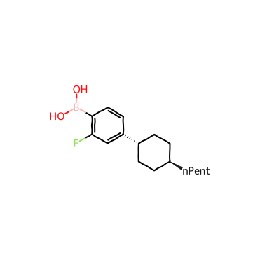 CCCCC[C@H]1CC[C@H](c2ccc(B(O)O)c(F)c2)CC1